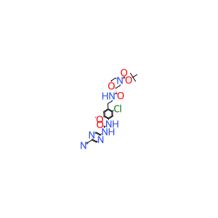 COc1cc(CCNC(=O)[C@H]2CN(C(=O)OC(C)(C)C)CCO2)c(Cl)cc1NC(=O)Nc1cnc(C#N)cn1